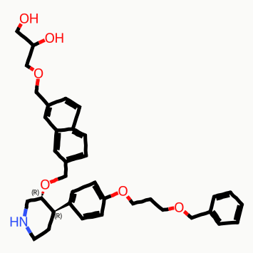 OCC(O)COCc1ccc2ccc(CO[C@H]3CNCC[C@@H]3c3ccc(OCCCOCc4ccccc4)cc3)cc2c1